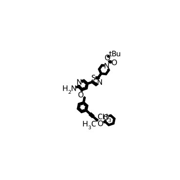 CC(C)(C)OC(=O)N1CCC(c2ncc(-c3cnc(N)c(OCc4cccc(C#CC(C)(C)OC5CCCCO5)c4)c3)s2)CC1